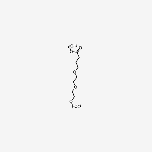 CCCCCCCCOCCOCCOCCCC(=O)OCCCCCCCC